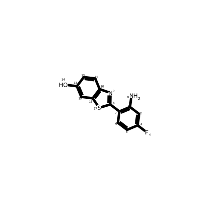 Nc1cc(F)ccc1-c1nc2ccc(O)cc2s1